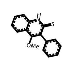 COc1c(-c2ccccc2)c(=S)[nH]c2ccccc12